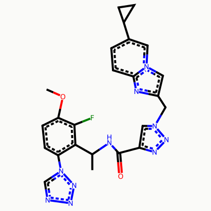 COc1ccc(-n2cnnn2)c(C(C)NC(=O)c2cn(Cc3cn4cc(C5CC5)ccc4n3)nn2)c1F